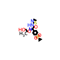 C[C@H](CO)O/N=C(/C(=O)Nc1nccs1)c1ccc(S(=O)(=O)C2CC2)cc1